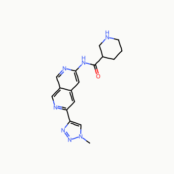 Cn1cc(-c2cc3cc(NC(=O)C4CCCNC4)ncc3cn2)nn1